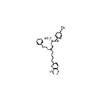 O=C(O)C(CCN(CCCCc1ccc2c(n1)NCCC2)CCOc1ccccc1)Nc1ncc(C2CC2)cn1